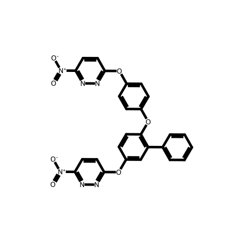 O=[N+]([O-])c1ccc(Oc2ccc(Oc3ccc(Oc4ccc([N+](=O)[O-])nn4)cc3-c3ccccc3)cc2)nn1